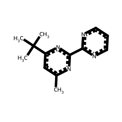 Cc1cc(C(C)(C)C)nc(-c2ncccn2)n1